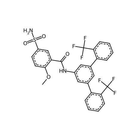 COc1ccc(S(N)(=O)=O)cc1C(=O)Nc1cc(-c2ccccc2C(F)(F)F)cc(-c2ccccc2C(F)(F)F)c1